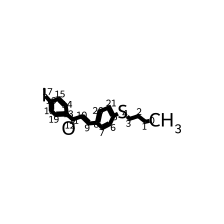 CCCCSc1ccc(/C=C/C(=O)c2ccc(I)cc2)cc1